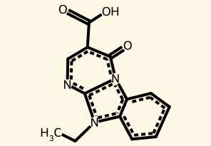 CCn1c2ccccc2n2c(=O)c(C(=O)O)cnc12